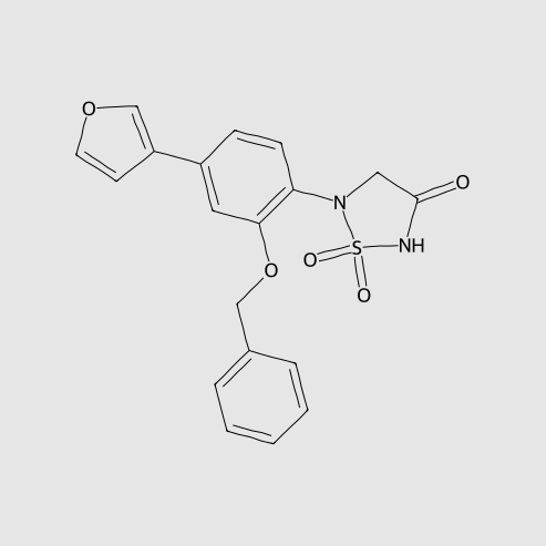 O=C1CN(c2ccc(-c3ccoc3)cc2OCc2ccccc2)S(=O)(=O)N1